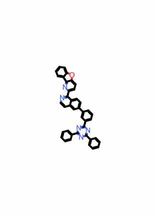 c1ccc(-c2nc(-c3ccccc3)nc(-c3cccc(-c4ccc5c(-c6ccc7oc8ccccc8c7n6)nccc5c4)c3)n2)cc1